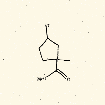 [CH2]CC1C[CH]C(C)(C(=O)OC)C1